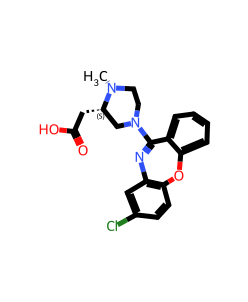 CN1CCN(C2=Nc3cc(Cl)ccc3Oc3ccccc32)C[C@@H]1CC(=O)O